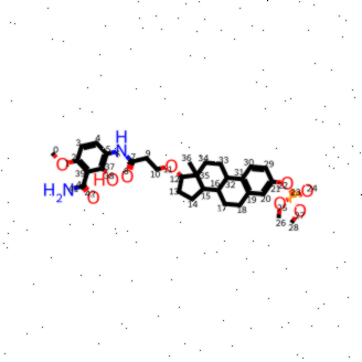 COc1ccc(NC(=O)CCOC2CCC3C4CCc5cc(OP(=O)(OC)OC)ccc5C4CCC23C)c(O)c1C(N)=O